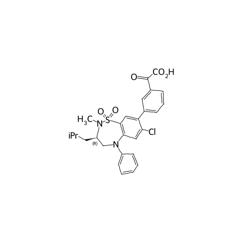 CC(C)C[C@@H]1CN(c2ccccc2)c2cc(Cl)c(-c3cccc(C(=O)C(=O)O)c3)cc2S(=O)(=O)N1C